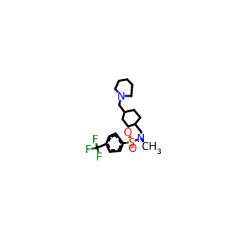 CN(CC1CCC(CN2CCCCC2)CC1)S(=O)(=O)c1ccc(C(F)(F)F)cc1